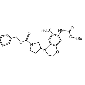 CC(C)(C)OC(=O)Nc1cc2c(cc1C(=O)O)N(C1CCN(C(=O)OCc3ccccc3)C1)CCO2